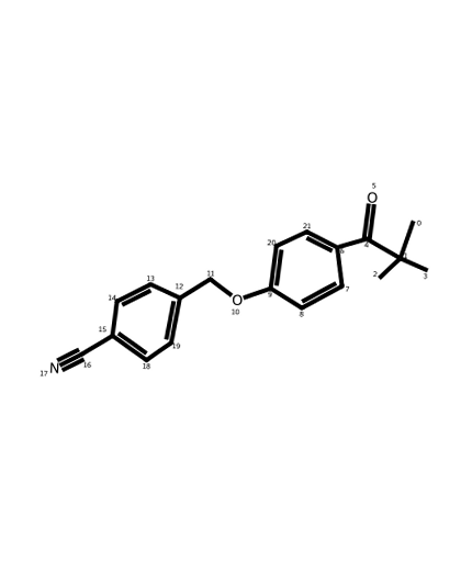 CC(C)(C)C(=O)c1ccc(OCc2ccc(C#N)cc2)cc1